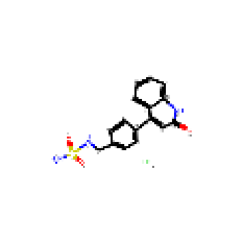 Cl.NS(=O)(=O)NCc1ccc(-c2cc(=O)[nH]c3ccccc23)cc1